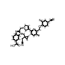 N#CCC1(Cn2c(CN3CC=C(c4ccc(F)c(COc5ccc(C#N)cc5F)n4)C3)nc3ccc(C(=O)O)cc32)CC1